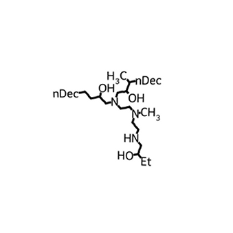 CCCCCCCCCCCCC(O)CN(CCN(C)CCNCC(O)CC)CC(O)C(C)CCCCCCCCCC